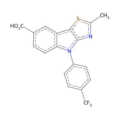 Cc1nc2c(s1)c1cc(C(=O)O)ccc1n2-c1ccc(C(F)(F)F)cc1